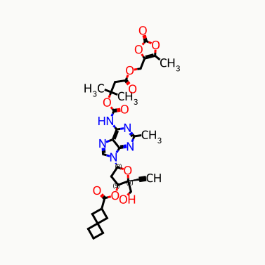 C#C[C@]1(CO)O[C@@H](n2cnc3c(NC(=O)OC(C)(C)CC(=O)OCc4oc(=O)oc4C)nc(C)nc32)C[C@@H]1OC(=O)C1CC2(CCC2)C1